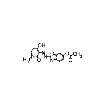 CC(=O)Oc1ccc2nc(N=NC3=C(O)CCN(C)C3=O)oc2c1